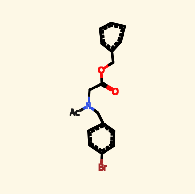 CC(=O)N(CC(=O)OCc1ccccc1)Cc1ccc(Br)cc1